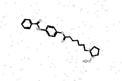 CCCCCCCC[C@H]1CCC[C@@H]1CCCCCCC(=O)Oc1ccc(NC(=O)c2ccccc2)cc1